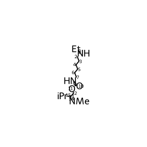 CCNCCCCCCNC(=O)OC[C@H](NC)C(C)C